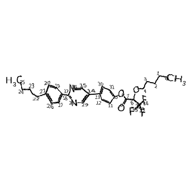 CCCCCOC(C(=O)Oc1ccc(-c2cnc(-c3ccc(CCCC)cc3)nc2)cc1)C(F)(F)F